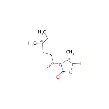 CC[C@@H](C)CCC(=O)N1C(=O)OC(I)[C@H]1C